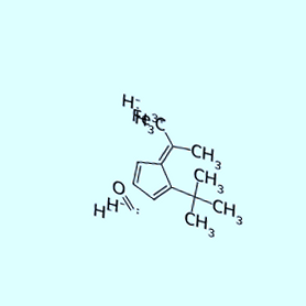 CC(C)=C1C=CC=C1C(C)(C)C.[C]=O.[Fe+3].[H-].[H-].[H-]